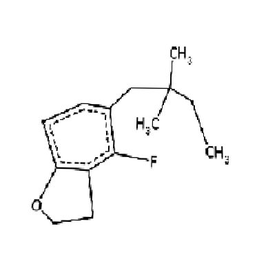 CCC(C)(C)Cc1ccc2c(c1F)CCO2